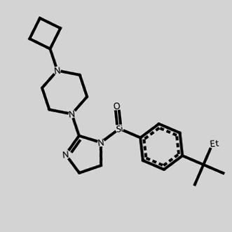 CCC(C)(C)c1ccc([Si](=O)N2CCN=C2N2CCN(C3CCC3)CC2)cc1